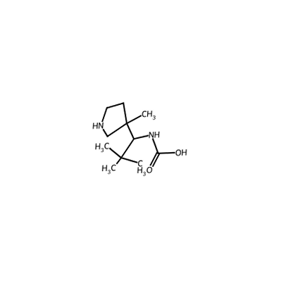 CC(C)(C)C(NC(=O)O)C1(C)CCNC1